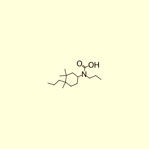 CCCN(C(=O)O)C1CCC(C)(CCC)C(C)(C)C1